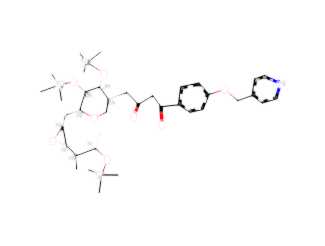 C[C@@H]([C@@H]1O[C@H]1C[C@@H]1OC[C@H](CC(=O)CC(=O)c2ccc(OCc3ccncc3)cc2)[C@@H](O[Si](C)(C)C)[C@@H]1O[Si](C)(C)C)[C@H](C)O[Si](C)(C)C